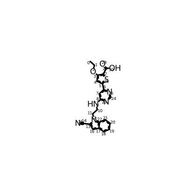 CCOc1cc(-c2cc(NCCn3c(C#N)cc4ccccc43)ncn2)sc1C(=O)O